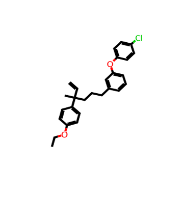 C=CC(C)(CCCc1cccc(Oc2ccc(Cl)cc2)c1)c1ccc(OCC)cc1